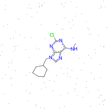 CNc1nc(Cl)nc2c1ncn2CC1CCCCC1